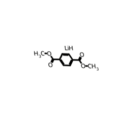 COC(=O)c1ccc(C(=O)OC)cc1.[LiH]